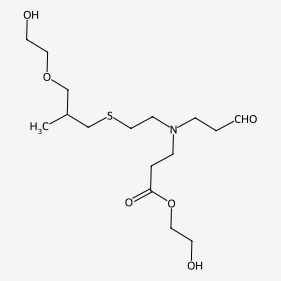 CC(COCCO)CSCCN(CCC=O)CCC(=O)OCCO